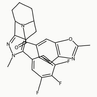 Cc1nc2ccc(C(=O)N3C4CCCC3c3nn(C)c(-c5cc(F)c(F)c(F)c5)c3C4)cc2o1